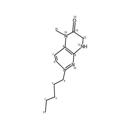 CCCCCc1ccc2c(n1)NCC(=O)N2C